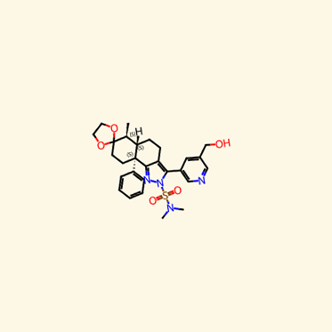 C[C@H]1[C@@H]2CCc3c(nn(S(=O)(=O)N(C)C)c3-c3cncc(CO)c3)[C@@]2(c2ccccc2)CCC12OCCO2